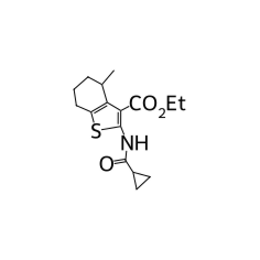 CCOC(=O)c1c(NC(=O)C2CC2)sc2c1C(C)CCC2